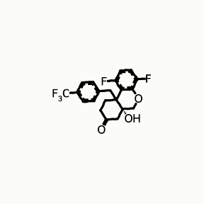 O=C1CCC2(Cc3ccc(C(F)(F)F)cc3)c3c(F)ccc(F)c3OC[C@@]2(O)C1